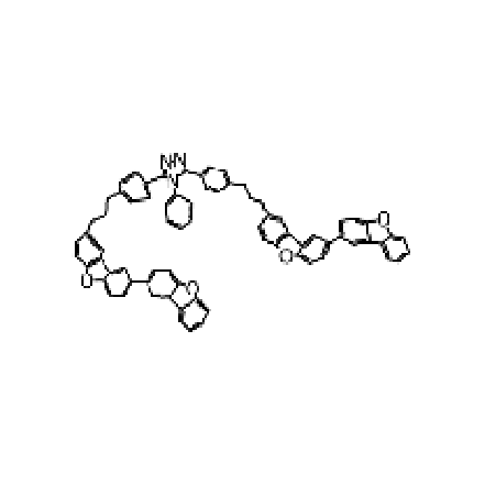 c1ccc(-n2c(-c3ccc(CCCc4ccc5oc6ccc(-c7ccc8oc9ccccc9c8c7)cc6c5c4)cc3)nnc2-c2ccc(CCCc3ccc4oc5ccc(-c6ccc7oc8ccccc8c7c6)cc5c4c3)cc2)cc1